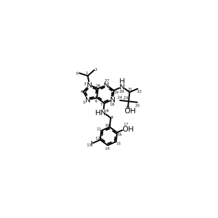 CC(C)n1cnc2c(NCc3cc(I)ccc3O)nc(NC(C)C(C)(C)O)nc21